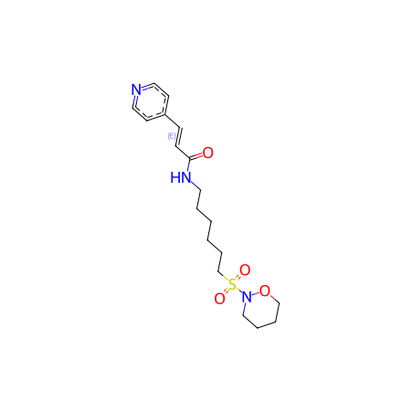 O=C(/C=C/c1ccncc1)NCCCCCCS(=O)(=O)N1CCCCO1